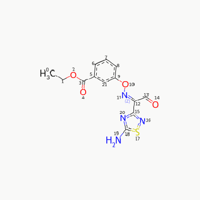 CCOC(=O)c1cccc(O/N=C(\[C]=O)c2nsc(N)n2)c1